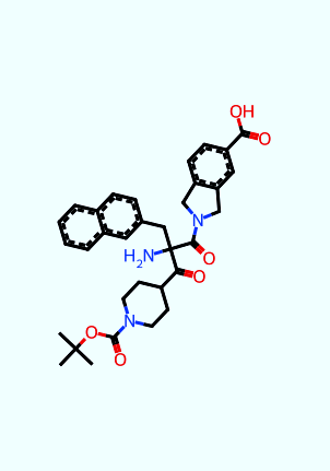 CC(C)(C)OC(=O)N1CCC(C(=O)C(N)(Cc2ccc3ccccc3c2)C(=O)N2Cc3ccc(C(=O)O)cc3C2)CC1